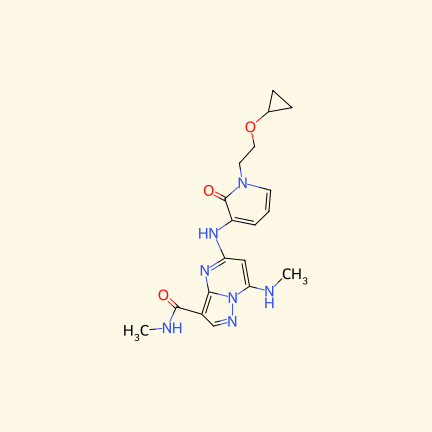 CNC(=O)c1cnn2c(NC)cc(Nc3cccn(CCOC4CC4)c3=O)nc12